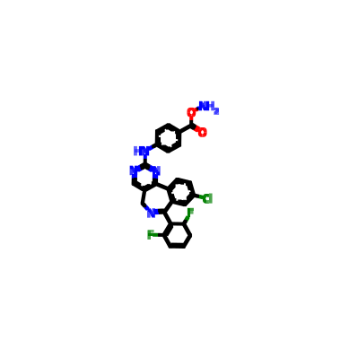 NOC(=O)c1ccc(Nc2ncc3c(n2)-c2ccc(Cl)cc2C(C2=C(F)C=CCC2F)=NC3)cc1